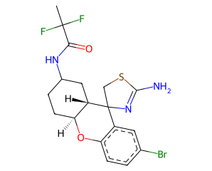 CC(F)(F)C(=O)NC1CC[C@@H]2Oc3ccc(Br)cc3C3(CSC(N)=N3)[C@H]2C1